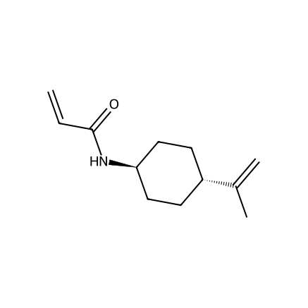 C=CC(=O)N[C@H]1CC[C@H](C(=C)C)CC1